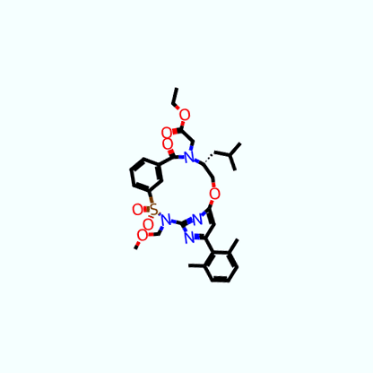 CCOC(=O)CN1C(=O)c2cccc(c2)S(=O)(=O)N(COC)c2nc(cc(-c3c(C)cccc3C)n2)OC[C@H]1CC(C)C